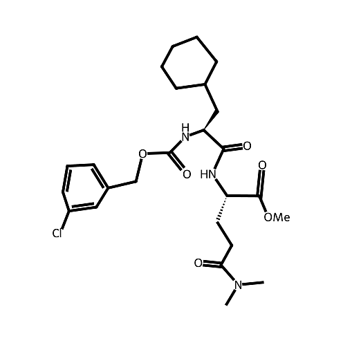 COC(=O)[C@H](CCC(=O)N(C)C)NC(=O)[C@H](CC1CCCCC1)NC(=O)OCc1cccc(Cl)c1